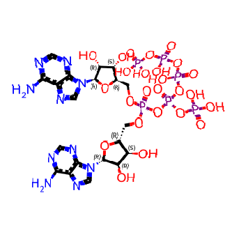 Nc1ncnc2c1ncn2[C@@H]1O[C@H](COP(=O)(OC[C@H]2O[C@@H](n3cnc4c(N)ncnc43)[C@H](O)[C@@H]2O)OP(=O)(OP(=O)(O)O)OP(=O)(O)OP(=O)(O)OP(=O)(O)O)[C@@H](O)[C@H]1O